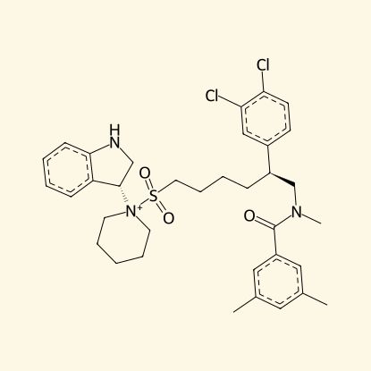 Cc1cc(C)cc(C(=O)N(C)C[C@@H](CCCCS(=O)(=O)[N+]2([C@H]3CNc4ccccc43)CCCCC2)c2ccc(Cl)c(Cl)c2)c1